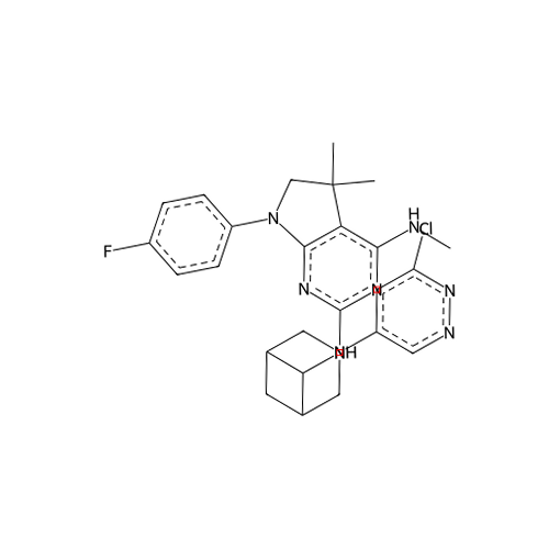 CNc1nc(NC2C3CC2CN(c2cnnc(Cl)c2)C3)nc2c1C(C)(C)CN2c1ccc(F)cc1